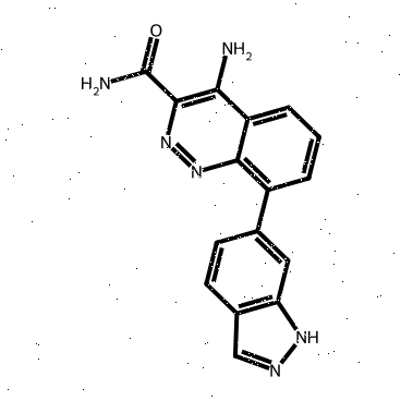 NC(=O)c1nnc2c(-c3ccc4cn[nH]c4c3)cccc2c1N